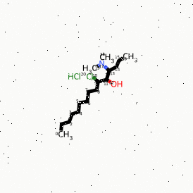 CCCCCCCCCC(Cl)C(O)C(CCC)N(C)C.Cl